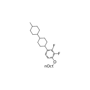 CCCCCCCCOc1ccc(C2CCC(C3CCC(C)CC3)CC2)c(F)c1F